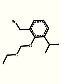 CCOCOc1c(CBr)cccc1C(C)C